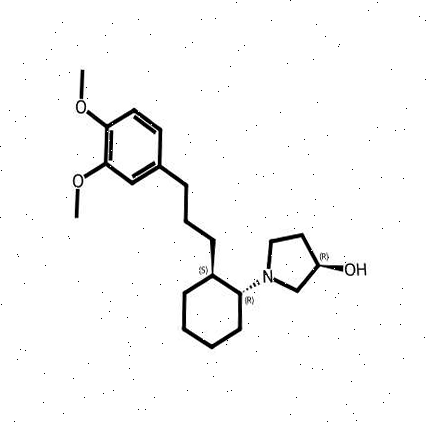 COc1ccc(CCC[C@@H]2CCCC[C@H]2N2CC[C@@H](O)C2)cc1OC